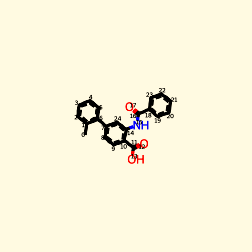 Cc1ccccc1-c1ccc(C(=O)O)c(NC(=O)c2ccccc2)c1